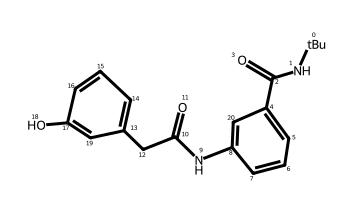 CC(C)(C)NC(=O)c1cccc(NC(=O)Cc2cccc(O)c2)c1